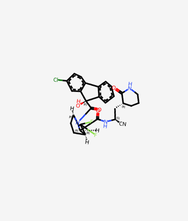 N#C[C@H](C[C@H]1CCCNC1=O)NC(=O)[C@H]1[C@H]2CC[C@H](CC2(F)F)N1C(=O)[C@@]1(O)c2ccccc2-c2ccc(Cl)cc21